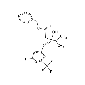 CC(C)C(O)(C=Cc1cc(F)cc(C(F)(F)F)c1)CC(=O)OCc1ccccc1